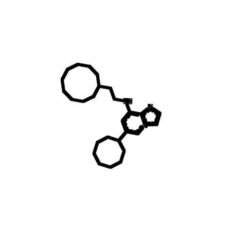 c1cn2cc(C3CCCCCCC3)cc(NCCC3CCCCCCCCC3)c2n1